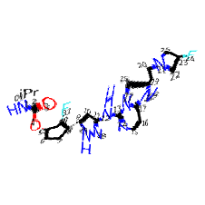 CC(C)NC(=O)O[C@H]1CC[C@@H](c2cc(Nc3nccc4nc(CN5CC(F)C5)cn34)n[nH]2)[C@H]1F